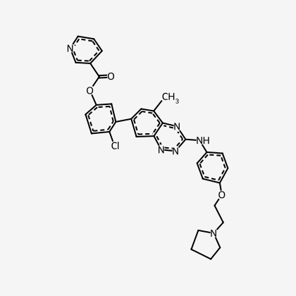 Cc1cc(-c2cc(OC(=O)c3cccnc3)ccc2Cl)cc2nnc(Nc3ccc(OCCN4CCCC4)cc3)nc12